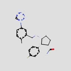 COc1ccc(-n2cnnn2)cc1CN[C@H]1CC[C@H](C(N)=O)[C@H]1c1ccc(F)cc1